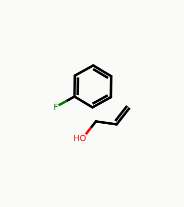 C=CCO.Fc1ccccc1